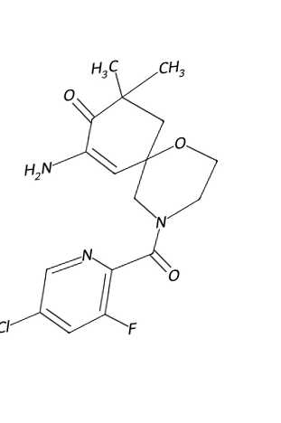 CC1(C)CC2(C=C(N)C1=O)CN(C(=O)c1ncc(Cl)cc1F)CCO2